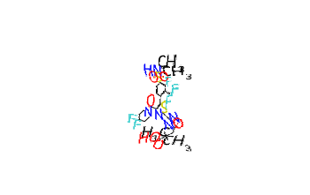 CC(C)NS(=O)(=O)c1ccc(-c2sc(-c3noc(CC(C)(C)C(=O)O)n3)nc2C(=O)N2CCC(F)(F)CC2)c(C(F)F)c1F